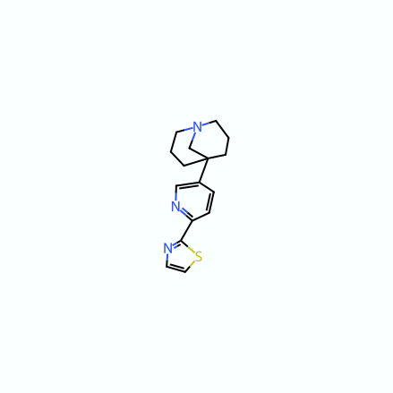 c1csc(-c2ccc(C34CCCN(CCC3)C4)cn2)n1